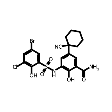 N#CC1(c2cc(NS(=O)(=O)c3cc(Br)cc(Cl)c3O)c(O)c(C(N)=O)c2)CCCCC1